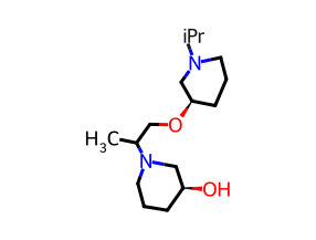 CC(C)N1CCC[C@@H](OCC(C)N2CCC[C@H](O)C2)C1